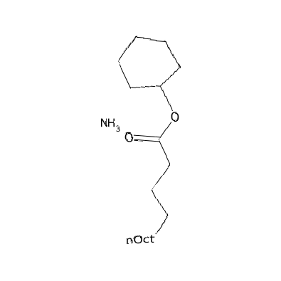 CCCCCCCCCCCC(=O)OC1CCCCC1.N